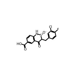 O=C(O)c1ccc2c(c1)C(=O)C(Cc1ccc(F)c(Cl)c1)[S+]([O-])N2